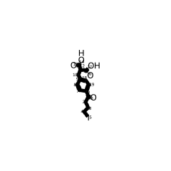 O=C(CCCI)c1ccc(CC(C(=O)O)C(=O)O)cc1